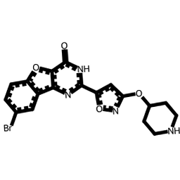 O=c1[nH]c(-c2cc(OC3CCNCC3)no2)nc2c1oc1ccc(Br)cc12